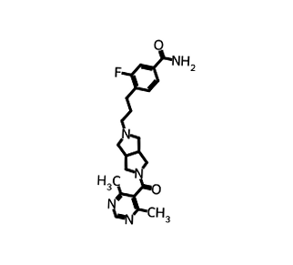 Cc1ncnc(C)c1C(=O)N1CC2CN(CCCc3ccc(C(N)=O)cc3F)CC2C1